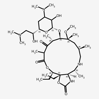 CC[C@H]1OC(=O)C(C)C(=O)[C@H](C)[C@@H](O[C@@H]2O[C@H](C(O)CN(C)C)CC(N(C)C)C2O)[C@](C)(OC)C[C@@H](C)CN[C@H](C)[C@H]2NC(=O)O[C@@]21CC